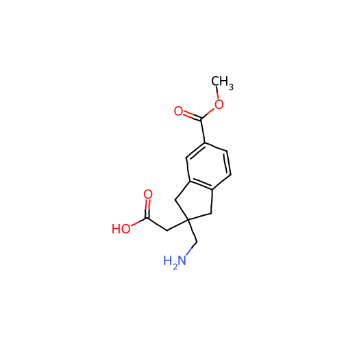 COC(=O)c1ccc2c(c1)CC(CN)(CC(=O)O)C2